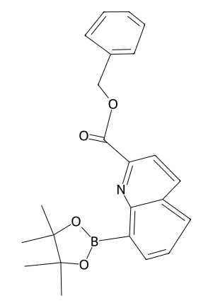 CC1(C)OB(c2cccc3ccc(C(=O)OCc4ccccc4)nc23)OC1(C)C